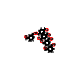 O=CC1CCC(C=O)CC1.O=CC1CCC(C=O)CC1.O=CC1CCCC(C=O)C1.O=CC1CCCC(C=O)C1.O=CC1CCCC(C=O)C1